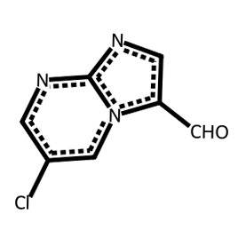 O=Cc1cnc2ncc(Cl)cn12